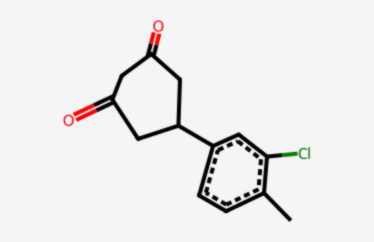 Cc1ccc(C2CC(=O)CC(=O)C2)cc1Cl